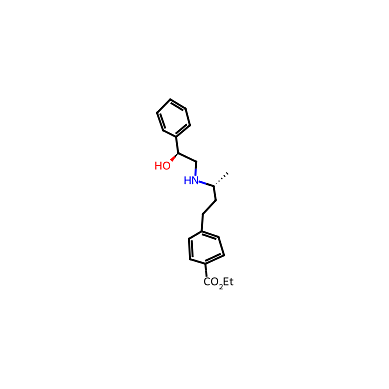 CCOC(=O)c1ccc(CC[C@@H](C)NC[C@@H](O)c2ccccc2)cc1